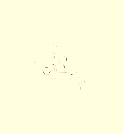 COc1ccc(C2CCCCC2)c2c1cc1n2CC2=C(C(=O)NS(=O)(=O)N(C)C)C2=C2C=CC[C@@H](C(=O)N3CCOC[C@H]3C)C21